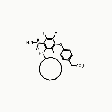 NS(=O)(=O)c1c(F)c(F)c(Sc2ccc(CC(=O)O)cc2)c(F)c1NC1CCCCCCCCCCC1